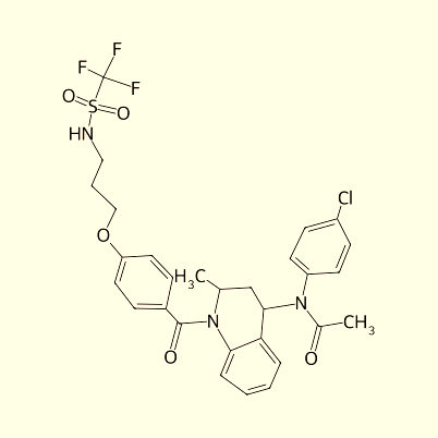 CC(=O)N(c1ccc(Cl)cc1)C1CC(C)N(C(=O)c2ccc(OCCCNS(=O)(=O)C(F)(F)F)cc2)c2ccccc21